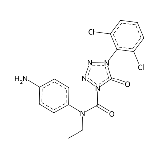 CCN(C(=O)n1nnn(-c2c(Cl)cccc2Cl)c1=O)c1ccc(N)cc1